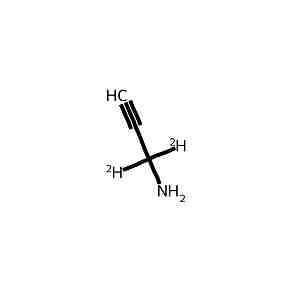 [2H]C([2H])(N)C#C